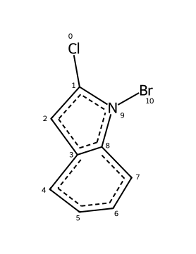 Clc1cc2ccccc2n1Br